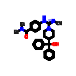 CCN(CC)C(=O)c1ccc(N/C(=N/C#N)N2CCC(C(O)(c3ccccc3)c3ccccc3)CC2)cc1